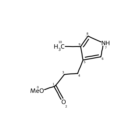 COC(=O)CCc1c[nH][c]c1C